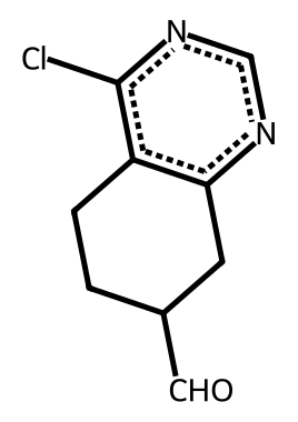 O=CC1CCc2c(Cl)ncnc2C1